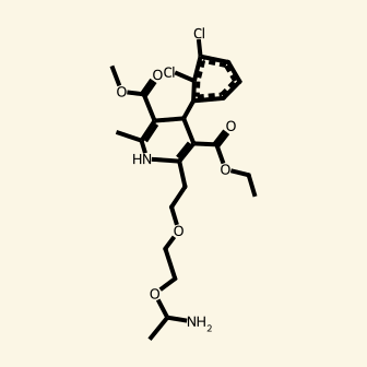 CCOC(=O)C1=C(CCOCCOC(C)N)NC(C)=C(C(=O)OC)C1c1cccc(Cl)c1Cl